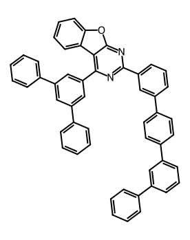 c1ccc(-c2cccc(-c3ccc(-c4cccc(-c5nc(-c6cc(-c7ccccc7)cc(-c7ccccc7)c6)c6c(n5)oc5ccccc56)c4)cc3)c2)cc1